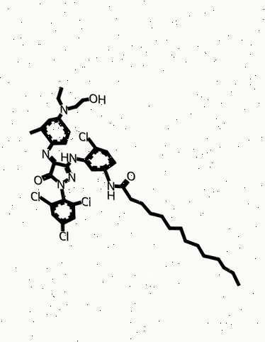 CCCCCCCCCCCCCC(=O)Nc1ccc(Cl)c(NC2=NN(c3c(Cl)cc(Cl)cc3Cl)C(=O)/C2=N/c2ccc(N(CC)CCO)cc2C)c1